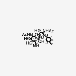 CC(=O)NC1C(OC2C(CO)OC(Oc3ccc(C)cc3)C(NC(C)=O)C2O)OC(CO)C(O)C1O